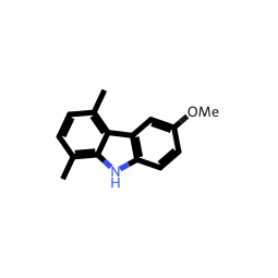 COc1ccc2[nH]c3c(C)ccc(C)c3c2c1